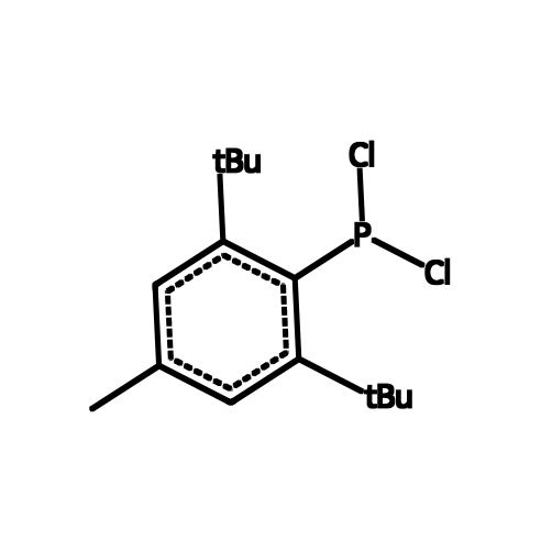 Cc1cc(C(C)(C)C)c(P(Cl)Cl)c(C(C)(C)C)c1